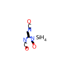 O=C=NC=C(N=C=O)N=C=O.[SiH4]